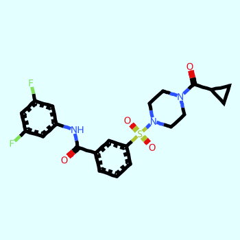 O=C(Nc1cc(F)cc(F)c1)c1cccc(S(=O)(=O)N2CCN(C(=O)C3CC3)CC2)c1